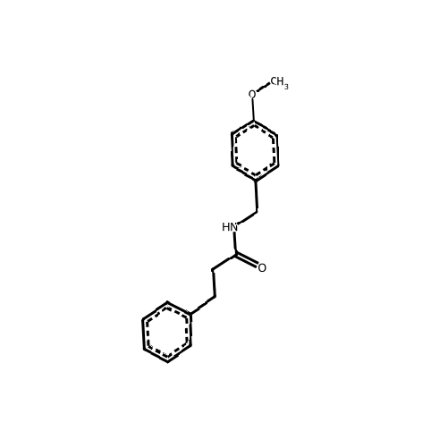 COc1ccc(CNC(=O)CCc2ccccc2)cc1